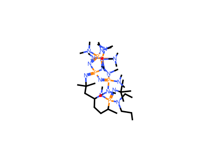 CCCN(CC)P1(=NC(C)(C)C)C(C)CCC(CC(C)(C)N=P(N=P(N(C)C)(N(C)C)N(C)C)(N=P(N(C)C)(N(C)C)N(C)C)N=P(N(C)C)(N(C)C)N(C)C)N1C